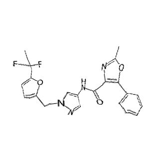 Cc1nc(C(=O)Nc2cnn(Cc3ccc(C(C)(F)F)o3)c2)c(-c2ccccc2)o1